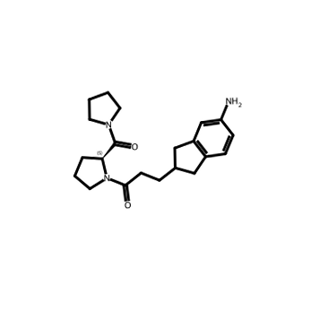 Nc1ccc2c(c1)CC(CCC(=O)N1CCC[C@H]1C(=O)N1CCCC1)C2